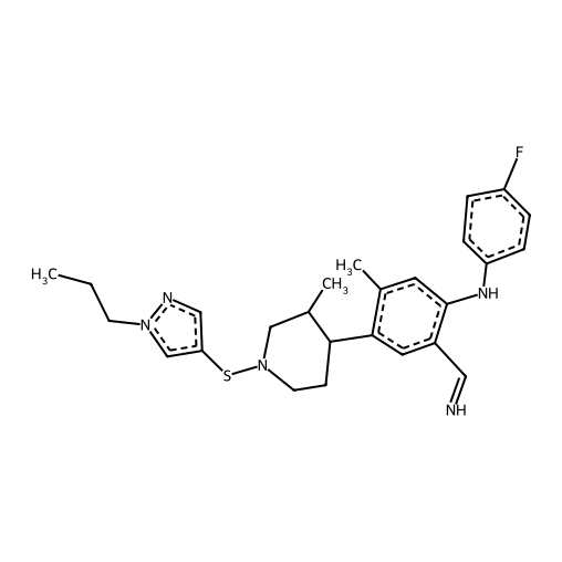 CCCn1cc(SN2CCC(c3cc(C=N)c(Nc4ccc(F)cc4)cc3C)C(C)C2)cn1